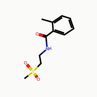 Cc1ccccc1C(=O)NCCS(C)(=O)=O